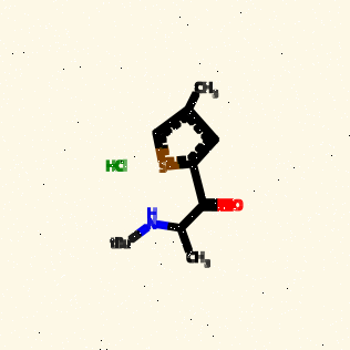 Cc1csc(C(=O)C(C)NC(C)(C)C)c1.Cl